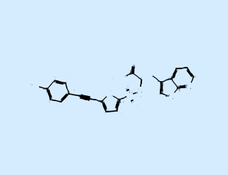 O=C(O)[C@H](Cc1c[nH]c2ncccc12)NS(=O)(=O)c1ccc(C#Cc2ccc(F)cc2)s1